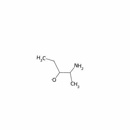 CCC([O])C(C)N